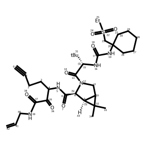 C#CCCC(NC(=O)[C@@H]1[C@H]2C(CN1C(=O)[C@@H](NC(=O)NC1(CS(=O)(=O)CC)CCCCC1)C(C)(C)C)C2(C)C)C(=O)C(=O)NCC=C